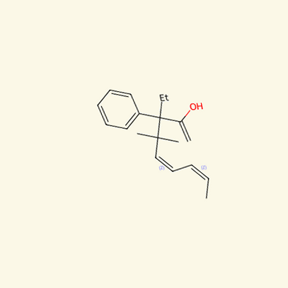 C=C(O)C(CC)(c1ccccc1)C(C)(C)/C=C\C=C/C